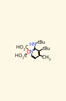 Cc1ccnc(NC(C)(C)C)c1C(C)(C)C.O=C(O)OC(=O)O